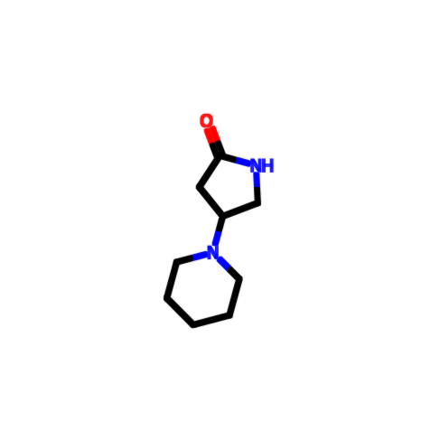 O=C1CC(N2CCCCC2)CN1